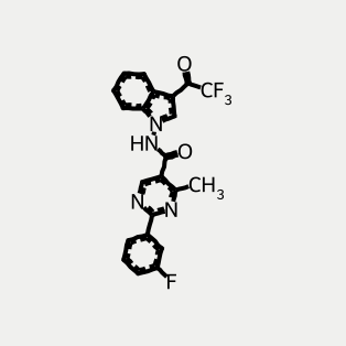 Cc1nc(-c2cccc(F)c2)ncc1C(=O)Nn1cc(C(=O)C(F)(F)F)c2ccccc21